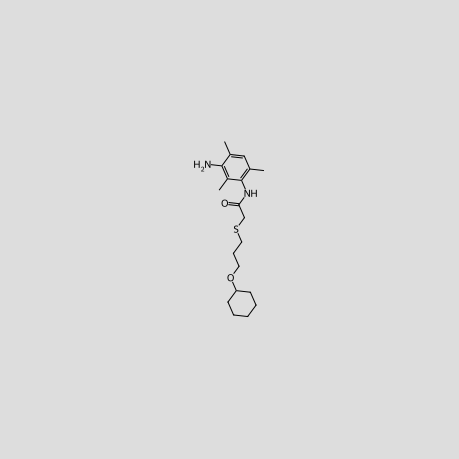 Cc1cc(C)c(NC(=O)CSCCCOC2CCCCC2)c(C)c1N